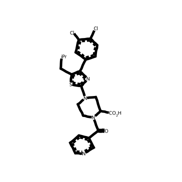 CC(C)Cc1sc(N2CCN(C(=O)c3cccnc3)C(C(=O)O)C2)nc1-c1ccc(Cl)c(Cl)c1